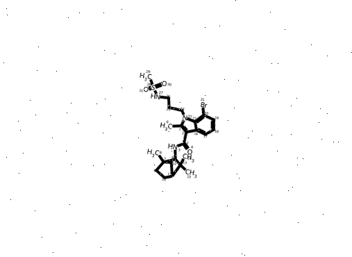 Cc1c(C(=O)NC2C3(C)CCC(C3)C2(C)C)c2cccc(Br)c2n1CCCNS(C)(=O)=O